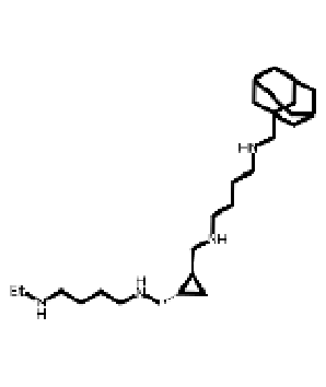 CCNCCCCNC[C@H]1C[C@@H]1CNCCCCNCC12CC3CC(CC(C3)C1)C2